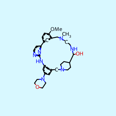 COc1ccc2cc1CN(C)CCNC(O)C1CCN(CC1)Cc1cc(cc(N3CCOCC3)c1)Nc1nccc-2n1